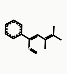 C=N/C(=C\C(C)=C(C)C)c1ccccc1